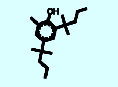 CCCC(C)(C)c1cc(C)c(O)c(C(C)(C)CCC)c1